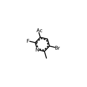 CC(=O)c1cc(Br)c(C)nc1F